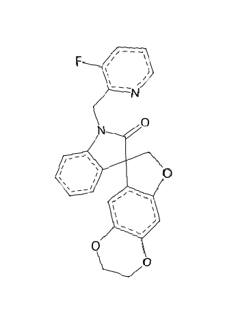 O=C1N(Cc2ncccc2F)c2ccccc2C12COc1cc3c(cc12)OCCO3